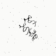 C=C(C)C(=O)OC[N+](C)(C)CC.C=C(C)C(=O)OC[N+](C)(C)CC.O=S(=O)([O-])[O-]